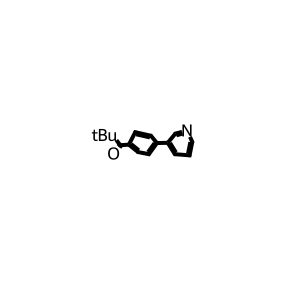 CC(C)(C)C(=O)c1ccc(-c2cccnc2)cc1